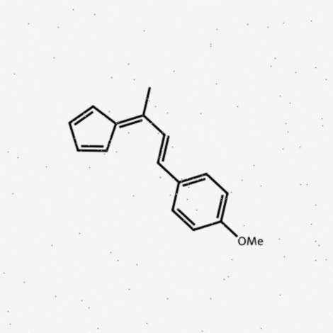 COc1ccc(C=CC(C)=C2C=CC=C2)cc1